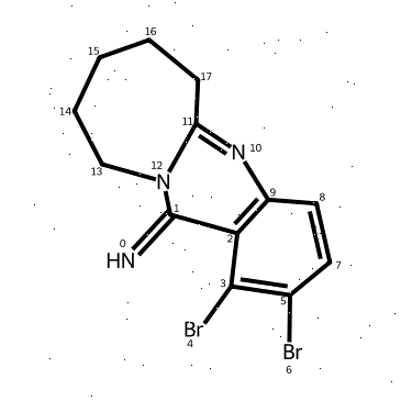 N=c1c2c(Br)c(Br)ccc2nc2n1CCCCC2